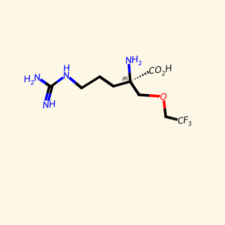 N=C(N)NCCC[C@@](N)(COCC(F)(F)F)C(=O)O